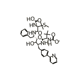 COC(=O)N[C@H](C(=O)N[C@@H](Cc1ccc(-c2ccccn2)cc1)C(O)C[C@H](Cc1ccccc1)NC(=O)[C@@H](NC(=O)O)C(C)(C)SC)C(C)(C)C